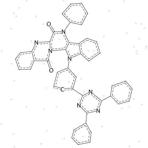 O=c1c2nc3ccccc3c(=O)n2c2c(c3ccccc3n2-c2cccc(-c3nc(-c4ccccc4)nc(-c4ccccc4)n3)c2)n1-c1ccccc1